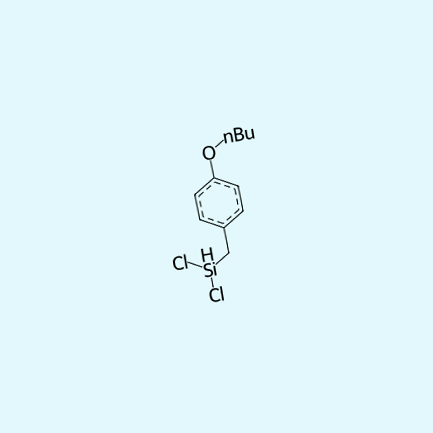 CCCCOc1ccc(C[SiH](Cl)Cl)cc1